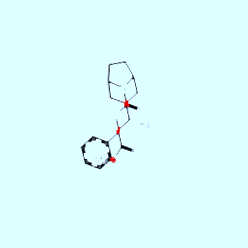 COC(=O)C[C@@H](N)C1CC2CCC(C1)N2C(=O)OCc1ccccc1